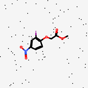 COC(=O)COc1ccc([N+](=O)[O-])cc1I